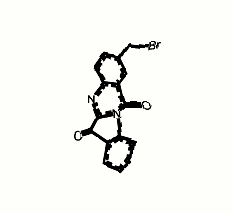 O=C1c2ccccc2-n2c1nc1ccc(CBr)cc1c2=O